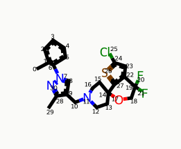 Cc1ccccc1-n1cc(CN2CCC3(CC2)OCC(F)(F)c2cc(Cl)sc23)c(C)n1